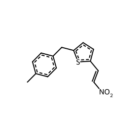 Cc1ccc(Cc2ccc(C=C[N+](=O)[O-])s2)cc1